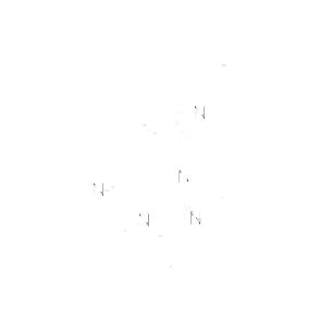 N#CC1=C(c2ccccc2)C(c2ccccc2)(n2c3ccccc3c3ccc4c(c5ccccc5n4-c4ccccc4)c32)C(C#N)=C1n1c2ccccc2c2ccccc21